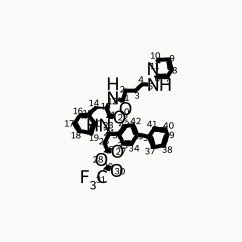 O=C(CCCNc1ccccn1)N[C@H](Cc1ccccc1)C(=O)NC(CC(=O)OC(=O)C(F)(F)F)c1ccc(-c2ccccc2)cc1